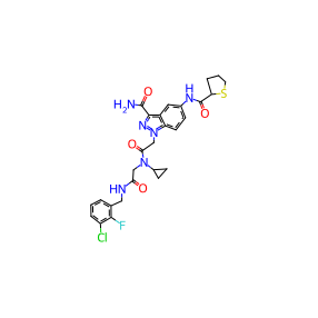 NC(=O)c1nn(CC(=O)N(CC(=O)NCc2cccc(Cl)c2F)C2CC2)c2ccc(NC(=O)C3CCCS3)cc12